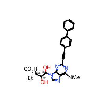 CC[C@H](C(=O)O)[C@@H](O)[C@@H](O)n1cnc2c(NC)nc(C#Cc3ccc(-c4ccccc4)cc3)nc21